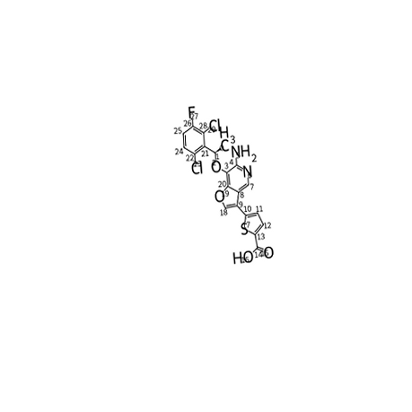 C[C@@H](Oc1c(N)ncc2c(-c3ccc(C(=O)O)s3)coc12)c1c(Cl)ccc(F)c1Cl